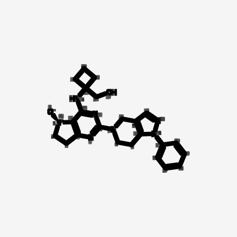 [O-][S@+]1CCc2nc(N3CCc4c(cnn4-c4ccccc4)C3)nc(NC3(CO)CCC3)c21